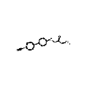 C=CC(=O)COc1ccc(-c2ccc(C#N)cc2)cc1